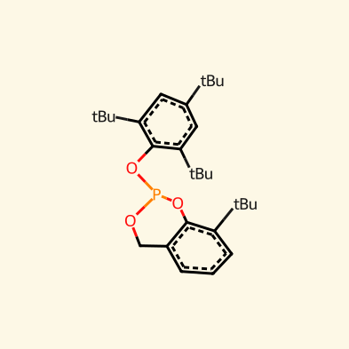 CC(C)(C)c1cc(C(C)(C)C)c(OP2OCc3cccc(C(C)(C)C)c3O2)c(C(C)(C)C)c1